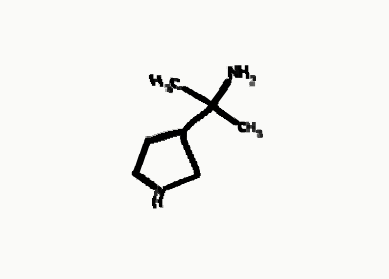 CC(C)(N)C1CCNC1